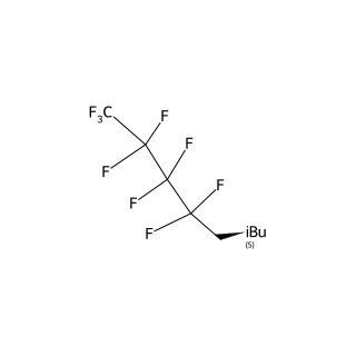 CC[C@H](C)CC(F)(F)C(F)(F)C(F)(F)C(F)(F)F